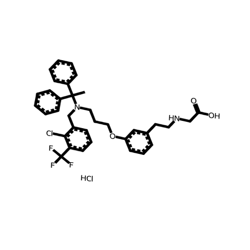 CC(c1ccccc1)(c1ccccc1)N(CCCOc1cccc(CCNCC(=O)O)c1)Cc1cccc(C(F)(F)F)c1Cl.Cl